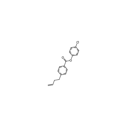 C=CCCc1ccc(C(=O)Oc2ccc(Cl)cc2)cc1